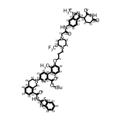 Cc1c(OCCCN2CCN(CC(=O)Nc3ccc4c(C5CCC(=O)NC5=O)nn(C)c4c3)C[C@H]2C(F)(F)F)cccc1-c1ccc(N2CCc3cccc(C(=O)Nc4nc5ccccc5s4)c3C2)nc1C(=O)OC(C)(C)C